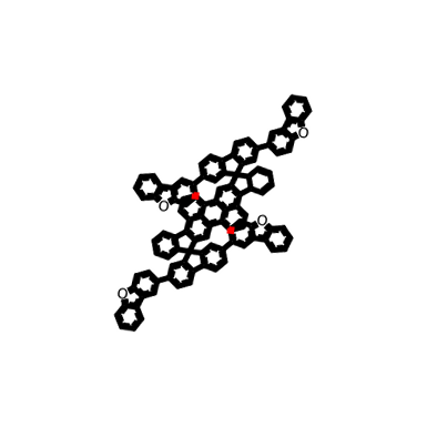 C1=CC2c3c(cc4c5cccc6c7c(cc(c8cccc3c84)c65)C3(c4cc(-c5ccc6oc8ccccc8c6c5)ccc4-c4ccc(-c5ccc6oc8ccccc8c6c5)cc43)c3ccccc3-7)C3(c4cc(-c5ccc6oc7ccccc7c6c5)ccc4-c4ccc(-c5ccc6oc7ccccc7c6c5)cc43)C2C=C1